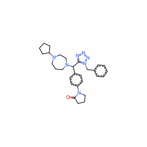 O=C1CCCN1c1ccc(C(c2nnnn2Cc2ccccc2)N2CCCN(C3CCCC3)CC2)cc1